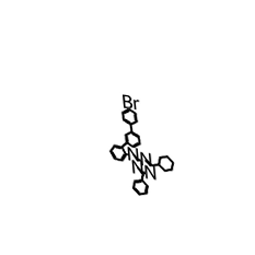 Brc1ccc(-c2ccc3c(c2)c2ccccc2n3-c2nc(-c3ccccc3)nc(C3CCCCC3)n2)cc1